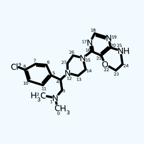 CN(C)CC(c1ccc(Cl)cc1)N1CCN(c2ncnc3c2OCCN3)CC1